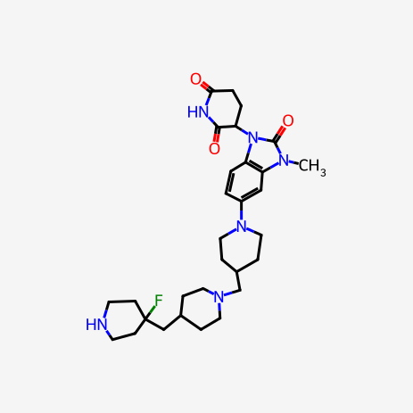 Cn1c(=O)n(C2CCC(=O)NC2=O)c2ccc(N3CCC(CN4CCC(CC5(F)CCNCC5)CC4)CC3)cc21